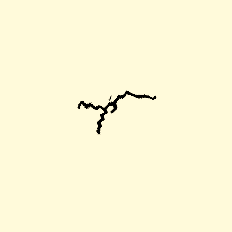 CCCCCCCC([CH]C(CCCCCC)CCCCCC)CC